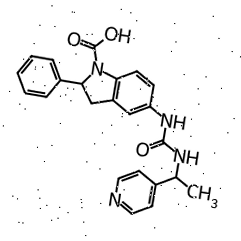 CC(NC(=O)Nc1ccc2c(c1)CC(c1ccccc1)N2C(=O)O)c1ccncc1